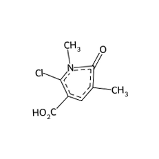 Cc1cc(C(=O)O)c(Cl)n(C)c1=O